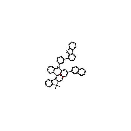 CC1(C)c2ccccc2-c2c(-c3ccccc3N(c3cccc(-c4ccc5ccccc5c4)c3)c3cccc(-c4cccc5c4sc4ccccc45)c3)cccc21